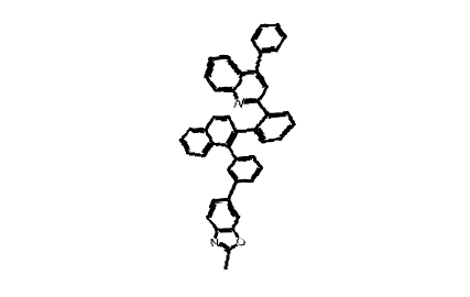 Cc1nc2ccc(-c3cccc(-c4c(-c5ccccc5-c5cc(-c6ccccc6)c6ccccc6n5)ccc5ccccc45)c3)cc2o1